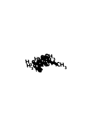 CCCCCC(=O)N(n1c(=O)[nH]c2cc(CC)c(-c3ccnn3C)cc2c1=O)S(C)(=O)=O